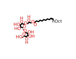 CCCCCCCC/C=C\CCCCCCCCC(=O)OC[C@H](O)CO[C@@H]1O[C@H](CO[C@@H]2O[C@H](CO)[C@@H](O)[C@H](O)[C@H]2O)[C@@H](O)[C@H](O)[C@H]1O